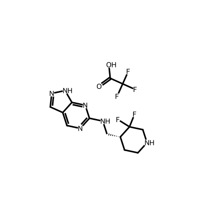 FC1(F)CNCC[C@@H]1CNc1ncc2cn[nH]c2n1.O=C(O)C(F)(F)F